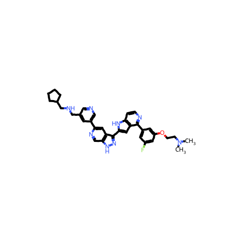 CN(C)CCOc1cc(F)cc(-c2nccc3[nH]c(-c4n[nH]c5cnc(-c6cncc(CNCC7CCCC7)c6)cc45)cc23)c1